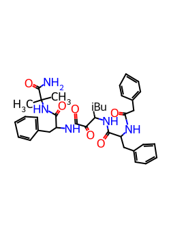 CCC(C)C(NC(=O)C(Cc1ccccc1)NC(=O)Cc1ccccc1)C(=O)C(=O)NC(Cc1ccccc1)C(=O)NC(C)(C)C(N)=O